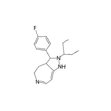 CCC(CC)N1NC2=CC=NCCC2C1c1ccc(F)cc1